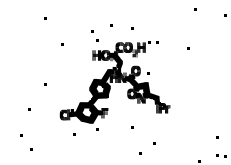 CC(C)Cc1cc(C(=O)NN(Cc2ccc(-c3cc(Cl)ccc3F)cc2)C[C@@H](O)C(=O)O)on1